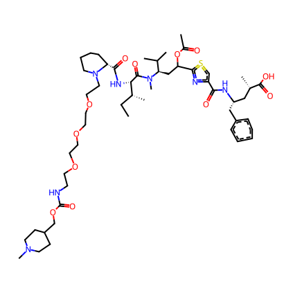 CC[C@@H](C)[C@H](NC(=O)[C@H]1CCCCN1CCOCCOCCOCCNC(=O)OCC1CCN(C)CC1)C(=O)N(C)[C@H](CC(OC(C)=O)c1nc(C(=O)N[C@@H](Cc2ccccc2)C[C@H](C)C(=O)O)cs1)C(C)C